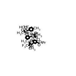 CC(C)OC(=O)c1cc(-c2nn(C)c(C(F)(F)F)c2Br)c(F)cc1Cl.Cc1ccc(C(=O)O)c(C2=NC(C)(C(C)C)C(=O)N2)c1.Cc1ccc(C2=NC(C)(C(C)C)C(=O)N2)c(C(=O)O)c1